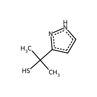 CC(C)(S)c1cc[nH]n1